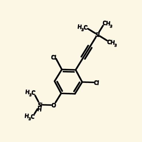 C[SiH](C)Oc1cc(Cl)c(C#C[Si](C)(C)C)c(Cl)c1